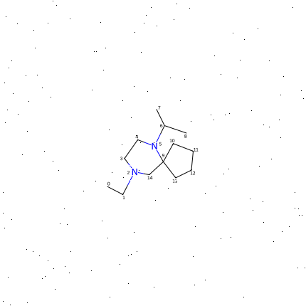 CCN1CCN(C(C)C)C2(CCCC2)C1